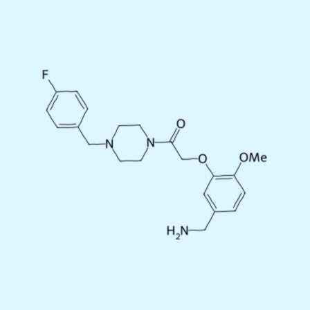 COc1ccc(CN)cc1OCC(=O)N1CCN(Cc2ccc(F)cc2)CC1